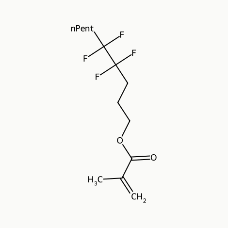 C=C(C)C(=O)OCCCC(F)(F)C(F)(F)CCCCC